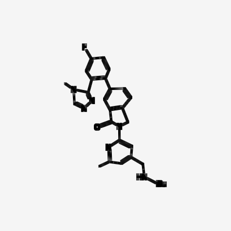 CCC(C)NCc1cc(C)nc(N2Cc3ccc(-c4ccc(F)cc4-c4nncn4C)cc3C2=O)c1